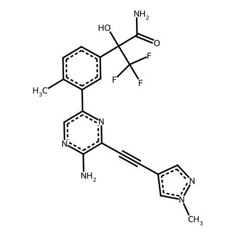 Cc1ccc(C(O)(C(N)=O)C(F)(F)F)cc1-c1cnc(N)c(C#Cc2cnn(C)c2)n1